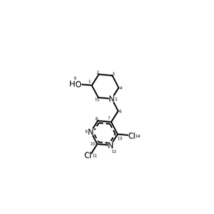 OC1CCCN(Cc2cnc(Cl)nc2Cl)C1